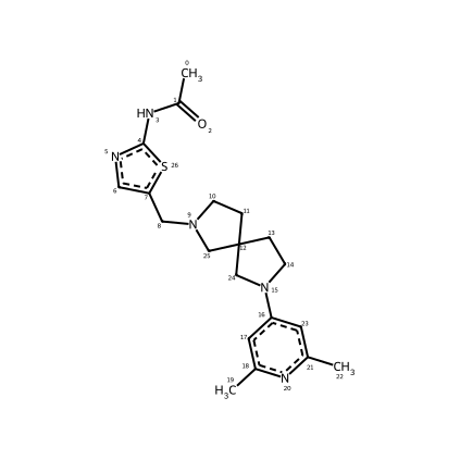 CC(=O)Nc1ncc(CN2CCC3(CCN(c4cc(C)nc(C)c4)C3)C2)s1